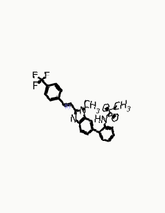 Cn1c(/C=C/c2ccc(C(F)(F)F)cc2)nc2ccc(-c3ccccc3NS(C)(=O)=O)cc21